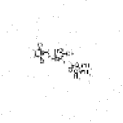 CC(C)(C)OC(=O)CCC(NC(=O)CCN1C(=O)C=CC1=O)C(=O)O